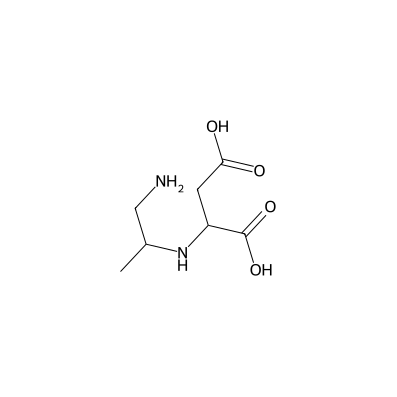 CC(CN)NC(CC(=O)O)C(=O)O